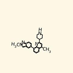 Cc1cc(C2CCNCC2)nc2c(-c3ccc4nn(C)cc4c3)cccc12